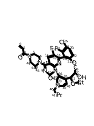 C=CC(=O)N1CCN(c2nc(=O)n3c4nc(c(F)cc24)-c2c(ccc(Cl)c2F)OCC(O)C(OCC)C2=C3[C@@H](C)N(CC(C)C)C=C2)[C@@H](C)C1